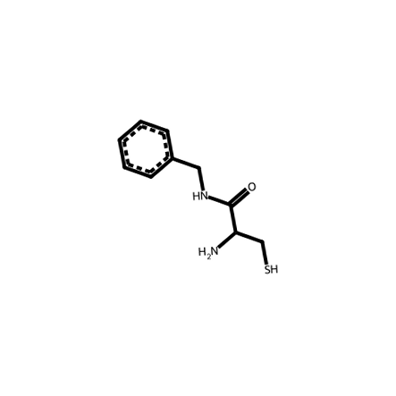 NC(CS)C(=O)NCc1ccccc1